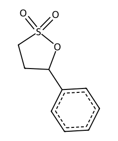 O=S1(=O)CCC(c2ccccc2)O1